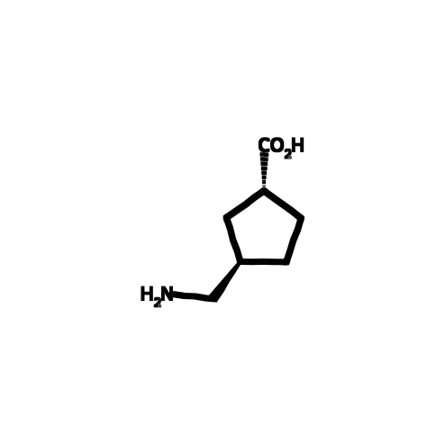 NC[C@@H]1CC[C@@H](C(=O)O)C1